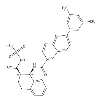 CCCCS(=O)(=O)NC(=O)[C@@H]1CCc2ccccc2[C@@H]1NC(=O)c1ccc2nc(-c3cc(C(F)(F)F)cc(C(F)(F)F)c3)ccc2c1